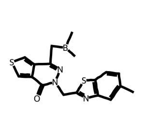 CB(C)Cc1nn(Cc2nc3cc(C)ccc3s2)c(=O)c2cscc12